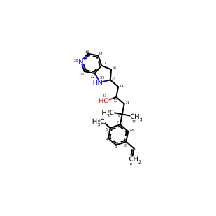 C=Cc1ccc(C)c(C(C)(C)CC(O)CC2Cc3ccncc3N2)c1